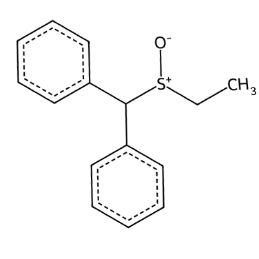 CC[S+]([O-])C(c1ccccc1)c1ccccc1